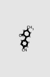 CC1CCC(c2ccc(C#N)cc2)C(=O)C1